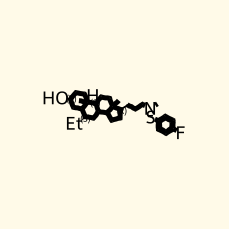 CC[C@H]1CC2C3CC[C@H](CCCN(C)Sc4ccc(F)cc4)C3(C)CC[C@@H]2C2(C)CC[C@@H](O)CC12